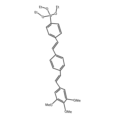 CCO[Si](OCC)(OCC)c1ccc(/C=C/c2ccc(/C=C/c3cc(OC)c(OC)c(OC)c3)cc2)cc1